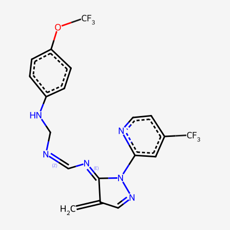 C=C1C=NN(c2cc(C(F)(F)F)ccn2)/C1=N/C=N\CNc1ccc(OC(F)(F)F)cc1